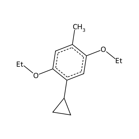 [CH2]COc1cc(C)c(OCC)cc1C1CC1